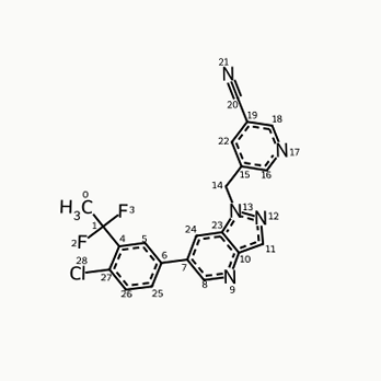 CC(F)(F)c1cc(-c2cnc3cnn(Cc4cncc(C#N)c4)c3c2)ccc1Cl